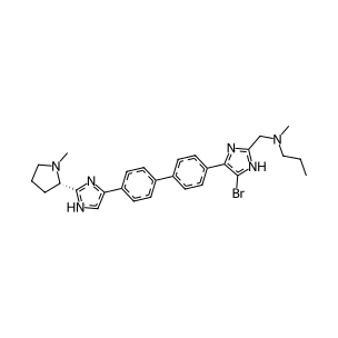 CCCN(C)Cc1nc(-c2ccc(-c3ccc(-c4c[nH]c([C@@H]5CCCN5C)n4)cc3)cc2)c(Br)[nH]1